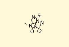 CCn1c(=O)n(C2(C#N)CCC2)c2nc(SC)ncc21